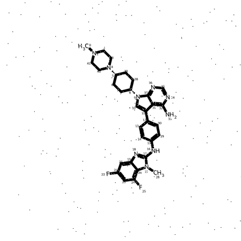 CN1CCN([C@H]2CC[C@@H](n3cc(-c4ccc(Nc5nc6cc(F)cc(F)c6n5C)cc4)c4c(N)ncnc43)CC2)CC1